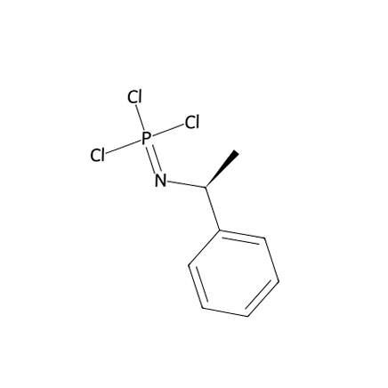 C[C@H](N=P(Cl)(Cl)Cl)c1ccccc1